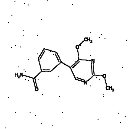 COc1ncc(-c2cccc(C(N)=O)c2)c(OC)n1